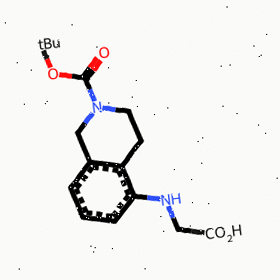 CC(C)(C)OC(=O)N1CCc2c(cccc2NCC(=O)O)C1